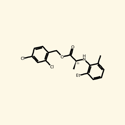 CCc1cccc(C)c1N[C@@H](C)C(=O)OCc1ccc(Cl)cc1Cl